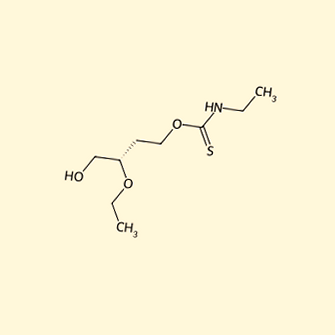 CCNC(=S)OCC[C@@H](CO)OCC